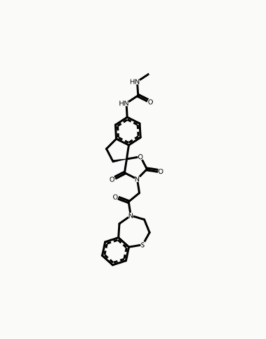 CNC(=O)Nc1ccc2c(c1)CC[C@]21OC(=O)N(CC(=O)N2CCSc3ccccc3C2)C1=O